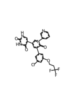 O=c1[nH]cc(-c2cc(-c3cc(Cl)cc(OCCC(F)(F)F)c3)c(=O)n(-c3cccnc3)c2)c(=O)[nH]1